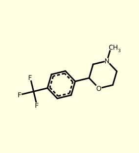 CN1CCOC(c2ccc(C(F)(F)F)cc2)C1